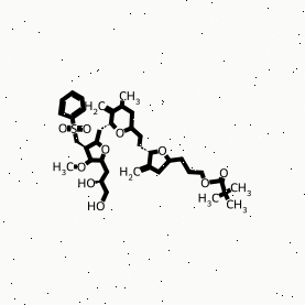 C=C1CC(CCCOC(=O)C(C)(C)C)O[C@H]1CCC1CC(C)C(=C)[C@@H](CC2OC(C[C@H](O)CO)C(OC)[C@H]2CS(=O)(=O)c2ccccc2)O1